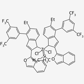 CCc1ccc2c(c1-c1cc(C(F)(F)F)cc(C(F)(F)F)c1)C=C(c1occ3ccccc13)[CH]2[Zr]([Cl])([Cl])([CH]1C(c2occ3ccccc23)=Cc2c1ccc(CC)c2-c1cc(C(F)(F)F)cc(C(F)(F)F)c1)=[Si](C)C